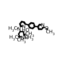 COc1ccc(-c2ccc(-c3cccc(N(C)C4CC(C)(C)NC(C)(C)C4)n3)c(O)c2)cn1